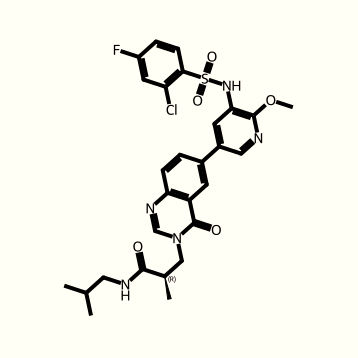 COc1ncc(-c2ccc3ncn(C[C@@H](C)C(=O)NCC(C)C)c(=O)c3c2)cc1NS(=O)(=O)c1ccc(F)cc1Cl